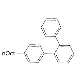 CCCCCCCCc1ccc(-c2ccccc2-c2ccccc2)cc1